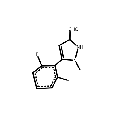 CN1NC(C=O)C=C1c1c(F)cccc1F